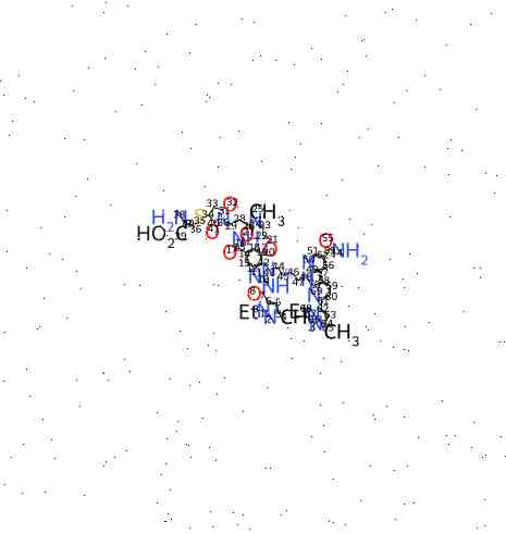 CCn1nc(C)cc1C(=O)Nc1nc2cc(C(N)=O)cc(OCCCN(C)C(=O)CCN3C(=O)CC(SC[C@H](N)C(=O)O)C3=O)c2n1C/C=C/Cn1c2ncc(C(N)=O)cc2c2ccc(-c3cc(C)nn3CC)nc21